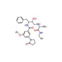 CCCCC(NCC(O)C(Cc1ccccc1)NC(=O)c1cc(OC(C)C)cc(N2CCCC2=O)c1)C(=O)NCC(C)C